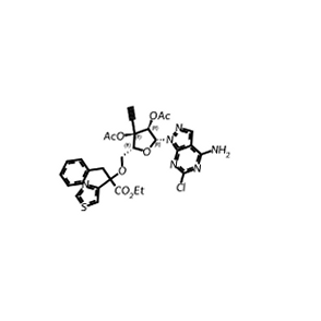 C#C[C@@]1(OC(C)=O)[C@@H](COC(Cc2ccccc2)(C(=O)OCC)c2cscn2)O[C@@H](n2ncc3c(N)nc(Cl)nc32)[C@@H]1OC(C)=O